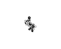 CC(C)OC(=O)[C@H](C)NP(=O)(OC[C@H]1O[C@@H](n2cnc3c(Cl)nc(N(C(=O)OC(C)(C)C)C(=O)OC(C)(C)C)nc32)C(F)(Cl)[C@H]1O)Oc1ccccc1